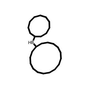 B(C1CCCCCCCCCCCCCCC1)C1CCCCCCCCCC1